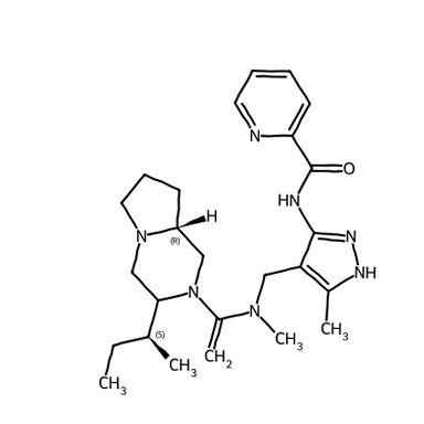 C=C(N(C)Cc1c(NC(=O)c2ccccn2)n[nH]c1C)N1C[C@H]2CCCN2CC1[C@@H](C)CC